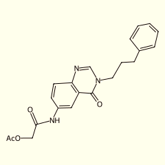 CC(=O)OCC(=O)Nc1ccc2ncn(CCCc3ccccc3)c(=O)c2c1